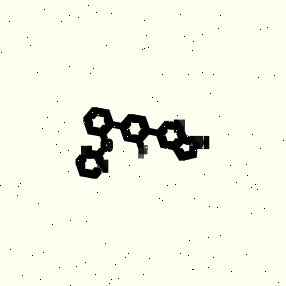 Fc1cc(-c2ccccc2Oc2ncccn2)ccc1-c1cnc2[nH]ccc2c1